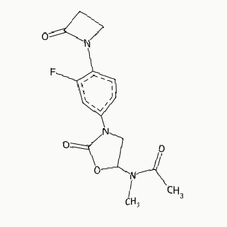 CC(=O)N(C)C1CN(c2ccc(N3CCC3=O)c(F)c2)C(=O)O1